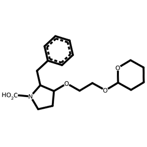 O=C(O)N1CCC(OCCOC2CCCCO2)C1Cc1ccccc1